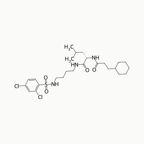 CC(C)C[C@H](NC(=O)CCC1CCCCC1)C(=O)NCCCCNS(=O)(=O)c1ccc(Cl)cc1Cl